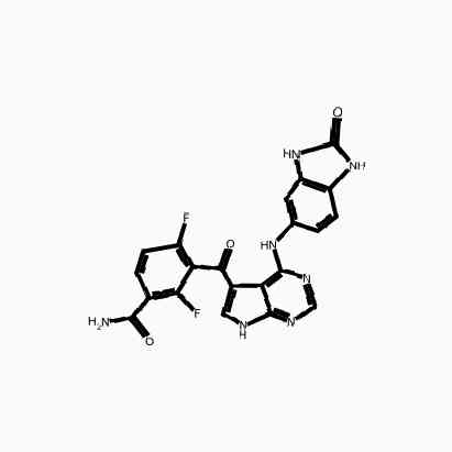 NC(=O)c1ccc(F)c(C(=O)c2c[nH]c3ncnc(Nc4ccc5[nH]c(=O)[nH]c5c4)c23)c1F